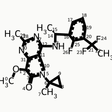 COc1c(=O)n(C2(C)CC2)cc2c(N[C@H](C)c3cccc(C(C)(F)F)c3F)nc(C)nc12